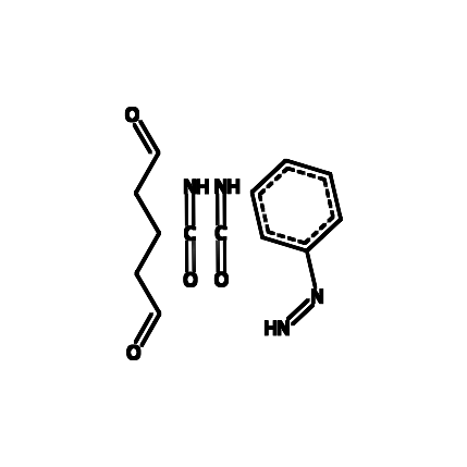 N=C=O.N=C=O.N=Nc1ccccc1.O=CCCCC=O